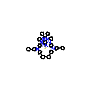 c1ccc(-c2nc3c(N(c4ccccc4)c4ccc(N(c5ccc(C6CCCCC6)cc5)c5ccc(C6CCCCC6)cc5)cc4)c4nsnc4c(N(c4ccccc4)c4ccc(N(c5ccc(C6CCCCC6)cc5)c5ccc(C6CCCCC6)cc5)cc4)c3nc2-c2ccccc2)cc1